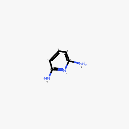 [NH]c1cccc(N)n1